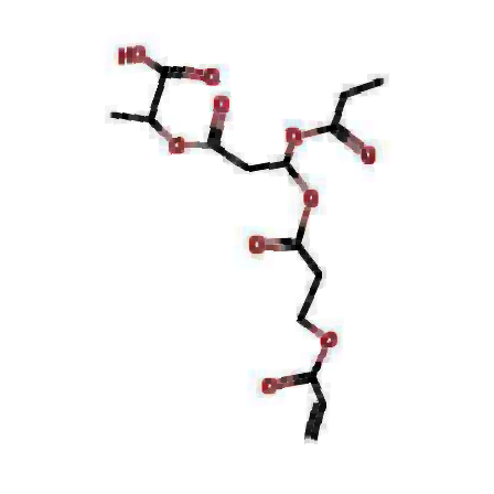 C=CC(=O)OCCC(=O)OC(CC(=O)OC(C)C(=O)O)OC(=O)CC